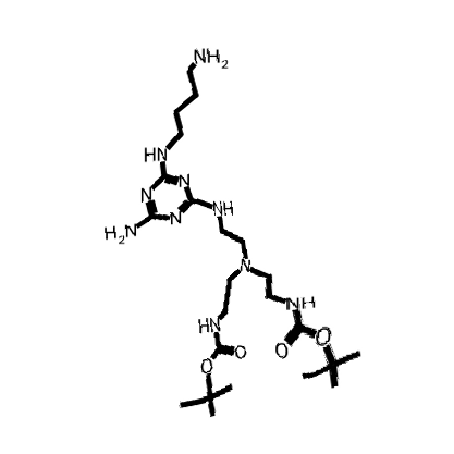 CC(C)(C)OC(=O)NCCN(CCNC(=O)OC(C)(C)C)CCNc1nc(N)nc(NCCCCN)n1